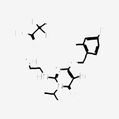 CC(C)n1c(NCCN)nc(OCc2ccc(F)cc2F)c(Br)c1=O.O=C(O)C(F)(F)F